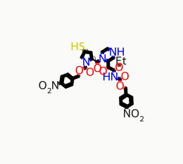 CCOC(NC(=O)OCc1ccc([N+](=O)[O-])cc1)C(=O)C1CNCCN1C(=O)[C@@H]1C[C@H](S)CN1C(=O)OCc1ccc([N+](=O)[O-])cc1